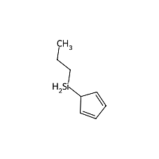 CCC[SiH2]C1C=CC=C1